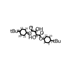 CC(C)(C)C1CCC(OC(=O)C(O)C(O)C(=O)OC2CCC(C(C)(C)C)CC2)CC1